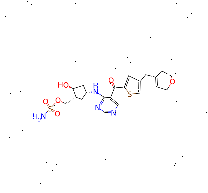 NS(=O)(=O)OC[C@H]1C[C@@H](Nc2ncncc2C(=O)c2cc(CC3=CCOCC3)cs2)C[C@@H]1O